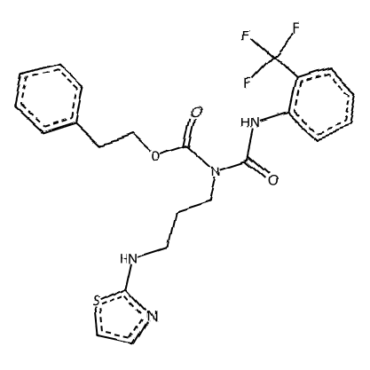 O=C(Nc1ccccc1C(F)(F)F)N(CCCNc1nccs1)C(=O)OCCc1ccccc1